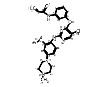 C=CC(=O)Nc1cccc(Oc2nc(Nc3ccc(N4CCN(C)CC4)cc3OC(C)C)ncc2Cl)c1